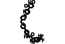 C[C@@]12Cc3[nH]nc(C(=O)Nc4ccc(C5CCN(CC6CCN(c7ccc(C8CCC(=O)NC8=O)cn7)CC6)CC5)cc4)c3C[C@@H]1C2(F)F